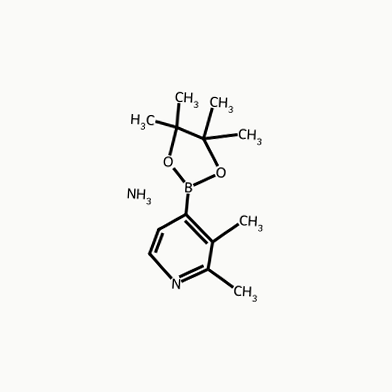 Cc1nccc(B2OC(C)(C)C(C)(C)O2)c1C.N